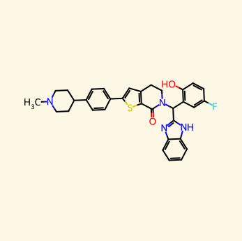 CN1CCC(c2ccc(-c3cc4c(s3)C(=O)N(C(c3nc5ccccc5[nH]3)c3cc(F)ccc3O)CC4)cc2)CC1